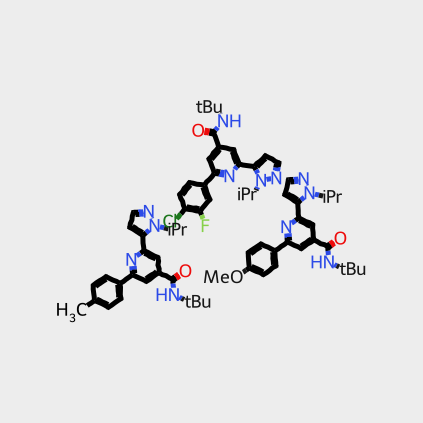 CC(C)n1nccc1-c1cc(C(=O)NC(C)(C)C)cc(-c2ccc(Cl)c(F)c2)n1.COc1ccc(-c2cc(C(=O)NC(C)(C)C)cc(-c3ccnn3C(C)C)n2)cc1.Cc1ccc(-c2cc(C(=O)NC(C)(C)C)cc(-c3ccnn3C(C)C)n2)cc1